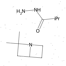 CC(C)C(=O)NN.CC1(C)CC2CCN21